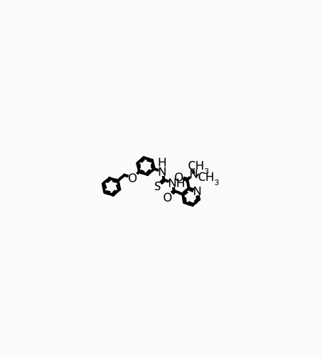 CN(C)C(=O)c1ncccc1C(=O)NC(=S)Nc1cccc(OCc2ccccc2)c1